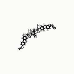 N#COc1ccc2c(c1)Cc1cc(NC(=O)Nc3nc(Cl)nc(NC(=O)Nc4ccc5c(c4)Cc4cc(N=C=O)ccc4-5)n3)ccc1-2